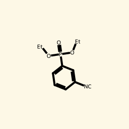 [C-]#[N+]c1cccc(P(=O)(OCC)OCC)c1